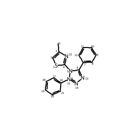 Cc1csc(-n2c(-c3ccccc3)nn[n+]2-c2ccccc2)n1